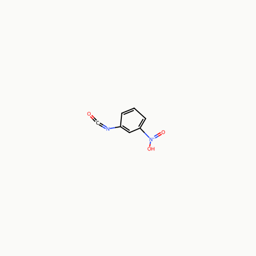 O=C=Nc1cccc([N+](=O)O)c1